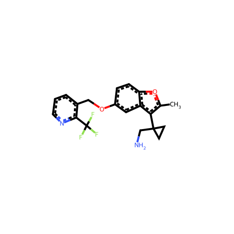 Cc1oc2ccc(OCc3cccnc3C(F)(F)F)cc2c1C1(CN)CC1